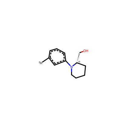 [2H]c1cccc(N2CCCC[C@H]2CO)c1